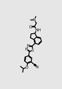 CC(C)Oc1ccc(-c2nnc(-c3cccc4c3CCC4NC(=O)CN(C)C)s2)cc1C#N